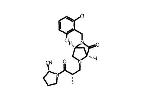 C[C@@H](CN1C[C@@H]2C[C@H]1C(=O)N2Cc1c(Cl)cccc1Cl)C(=O)N1CCC[C@H]1C#N